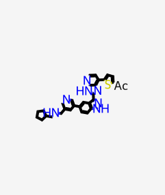 CC(=O)c1ccc(-c2ccnc3[nH]c(-c4n[nH]c5ccc(-c6cncc(CNCC7CCCC7)c6)cc45)nc23)s1